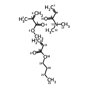 C=C(C)C(=O)OC.C=CC(=O)N(C)C.C=CC(=O)OCCCC